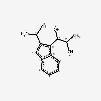 CC(C)c1nn2ccccc2c1C(O)C(C)C